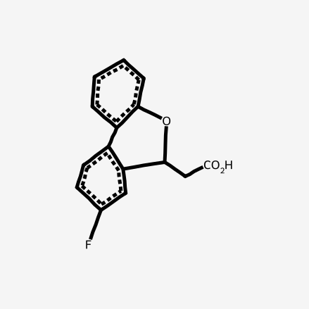 O=C(O)CC1Oc2ccccc2-c2ccc(F)cc21